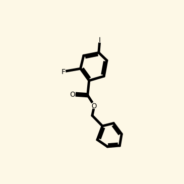 O=C(OCc1ccccc1)c1ccc(I)cc1F